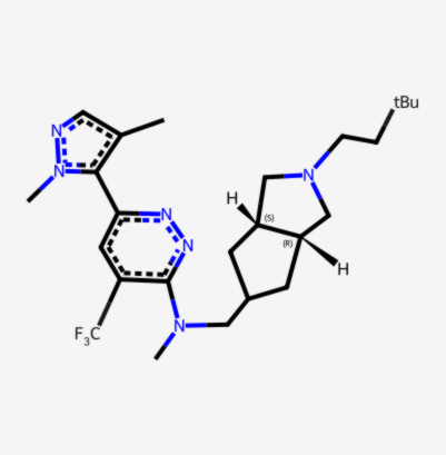 Cc1cnn(C)c1-c1cc(C(F)(F)F)c(N(C)CC2C[C@@H]3CN(CCC(C)(C)C)C[C@@H]3C2)nn1